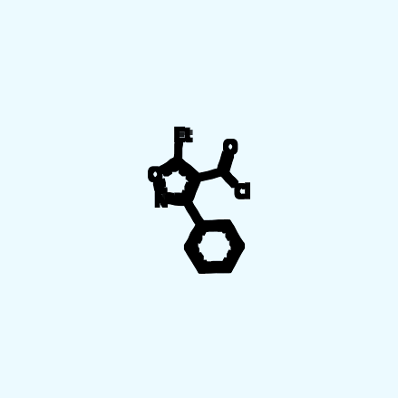 CCc1onc(-c2ccccc2)c1C(=O)Cl